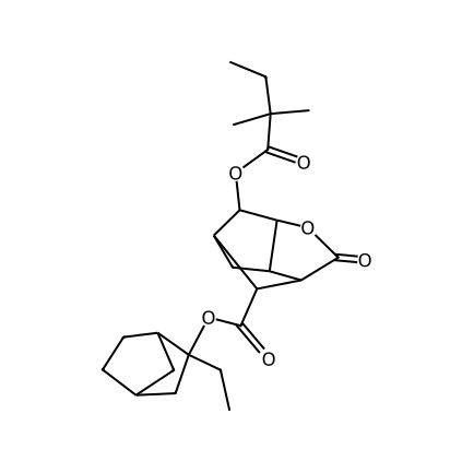 CCC(C)(C)C(=O)OC1C2CC3C1OC(=O)C3C2C(=O)OC1(CC)CC2CCC1C2